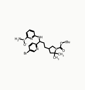 CC(C)(C)OC(=O)N1CC(CCC(Nc2cccc([S+](N)[O-])n2)c2ccc(Br)cn2)CC1(C)C